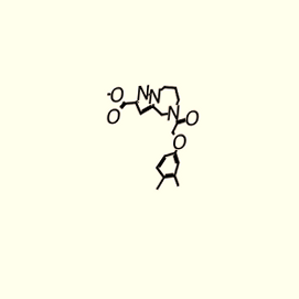 COC(=O)c1cc2n(n1)CCCN(C(=O)COc1ccc(C)c(C)c1)C2